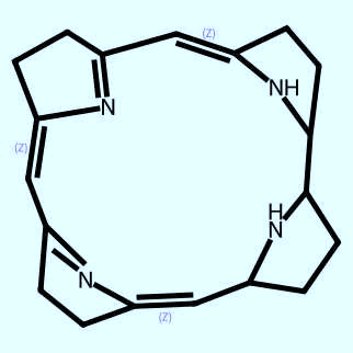 C1=C2/CCC(=N2)/C=C2/CCC(N2)C2CCC(/C=C3/CCC/1=N3)N2